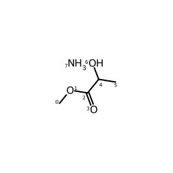 COC(=O)C(C)O.N